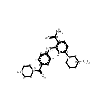 C[C@@H]1CCCN(c2ccc(C(N)=O)c(Nc3ccc(C(=O)N4CCOCC4)cc3)n2)C1